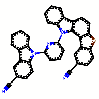 N#Cc1ccc2sc3ccc4c5ccccc5n(-c5cccc(-n6c7ccccc7c7cc(C#N)ccc76)n5)c4c3c2c1